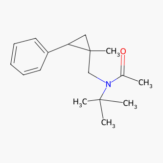 CC(=O)N(CC1(C)CC1c1ccccc1)C(C)(C)C